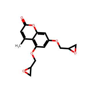 Cc1cc(=O)oc2cc(OCC3CO3)cc(OCC3CO3)c12